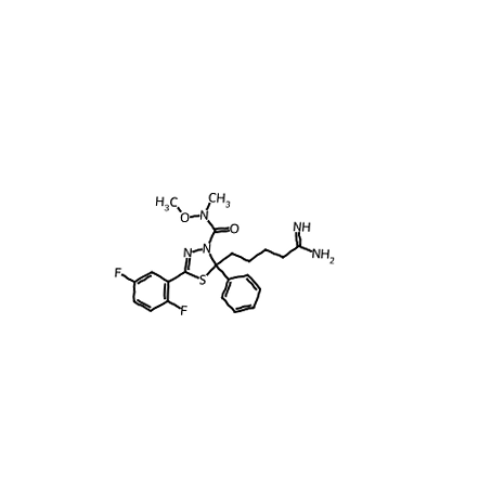 CON(C)C(=O)N1N=C(c2cc(F)ccc2F)SC1(CCCCC(=N)N)c1ccccc1